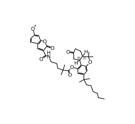 CCCCCCC(C)(C)c1cc(OC(=O)C(C)(C)CCCNC(=O)c2cc3ccc(OC)cc3oc2=O)c2c(c1)OC(C)(C)[C@H]1CCC(=O)C[C@@H]21